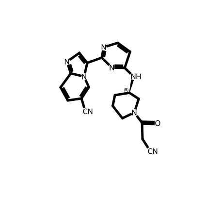 N#CCC(=O)N1CCC[C@@H](Nc2ccnc(-c3cnc4ccc(C#N)cn34)n2)C1